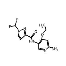 CCOc1cc(N)ncc1NC(=O)c1ccn(C(F)F)n1